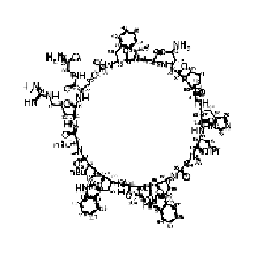 CCCC[C@H]1C(=O)N(C)[C@@H](CCCC)C(=O)N[C@@H](CCCNC(=N)N)C(=O)N[C@H](C(=O)NCC(N)=O)SCC(=O)N[C@@H](Cc2ccccc2)C(=O)N(C)[C@@H](C)C(=O)N[C@@H](CC(N)=O)C(=O)N2CCC[C@H]2C(=O)N[C@@H](Cc2cnc[nH]2)C(=O)N[C@@H](CC(C)C)C(=O)N(C)CC(=O)N[C@@H](Cc2c[nH]c3ccccc23)C(=O)N[C@@H]([C@@H](C)O)C(=O)N[C@@H](Cc2c[nH]c3ccccc23)C(=O)N1C